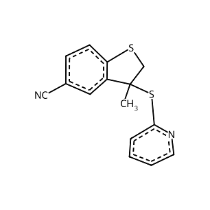 CC1(Sc2ccccn2)CSc2ccc(C#N)cc21